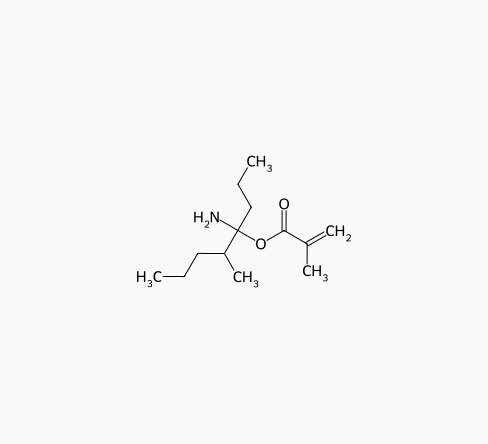 C=C(C)C(=O)OC(N)(CCC)C(C)CCC